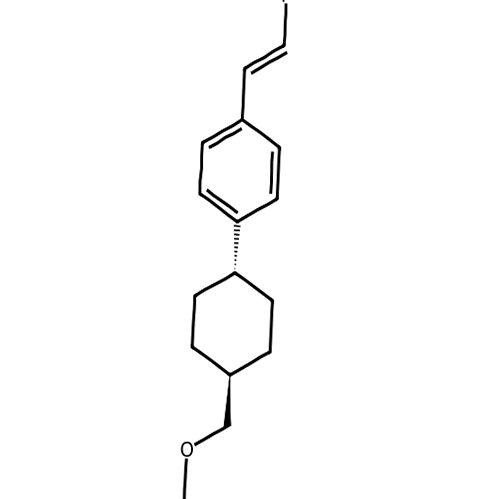 COC[C@H]1CC[C@H](c2ccc(C=CF)cc2)CC1